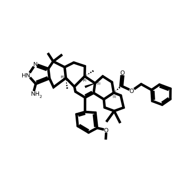 COc1cccc(C2=C3C4CC(C)(C)CC[C@]4(C(=O)OCc4ccccc4)CC[C@@]3(C)[C@]3(C)CCC4C(C)(C)c5n[nH]c(N)c5C[C@]4(C)C3C2)c1